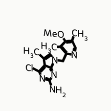 COc1c(C)cnc(Cn2cc(C)c3c(Cl)nc(N)nc32)c1C